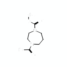 CCC(=O)N1CCCN(C(=O)OC(C)(C)C)CC1